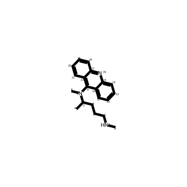 CNCCCC(C)N(C)c1c2ccccc2nc2ccccc12